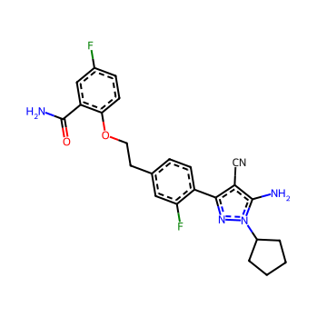 N#Cc1c(-c2ccc(CCOc3ccc(F)cc3C(N)=O)cc2F)nn(C2CCCC2)c1N